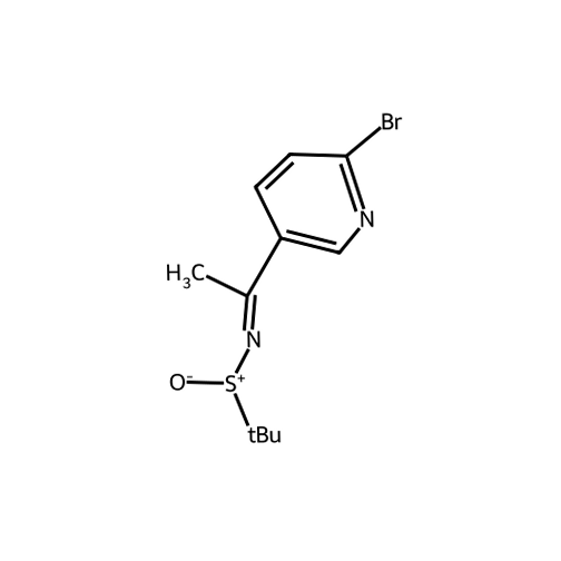 CC(=N[S+]([O-])C(C)(C)C)c1ccc(Br)nc1